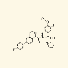 O=C(NC(CN1CCCC1)C(O)c1ccc(OC2CC2)c(F)c1)C1=NCCc2cc(-c3ccc(F)cc3)ccc21